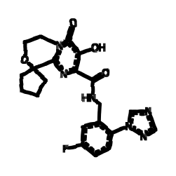 O=C(NCc1cc(F)ccc1-n1cncn1)c1nc2n(c(=O)c1O)CCOC21CCCC1